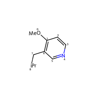 COc1ccncc1CC(C)C